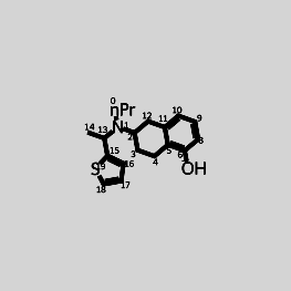 CCCN(C1CCc2c(O)cccc2C1)C(C)c1cccs1